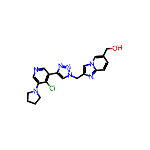 OCc1ccc2nc(Cn3cc(-c4cncc(N5CCCC5)c4Cl)nn3)cn2c1